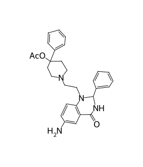 CC(=O)OC1(c2ccccc2)CCN(CCN2c3ccc(N)cc3C(=O)NC2c2ccccc2)CC1